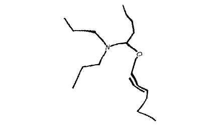 CCC=COC(CC)N(CCC)CCC